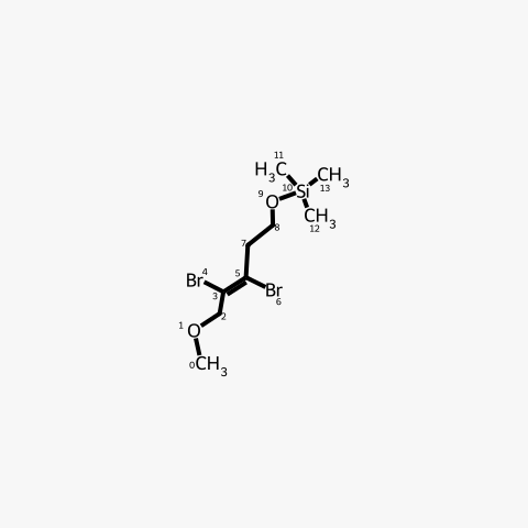 COCC(Br)=C(Br)CCO[Si](C)(C)C